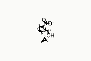 C1CC1.O=[N+]([O-])c1cncn1CO